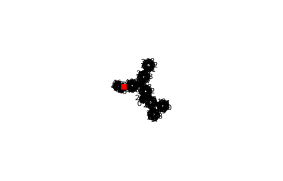 CC1(C)C2=C(C=C(c3ccccc3)C(C3C=CC=CC3)C2)C2C=CC(N(c3ccc(C4CCCCC4)cc3)c3ccc(C4CC5CCC4C5)cc3)=CC21